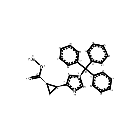 CCCCOC(=O)[C@H]1C[C@@H]1c1cn(C(c2ccccc2)(c2ccccc2)c2ccccc2)cn1